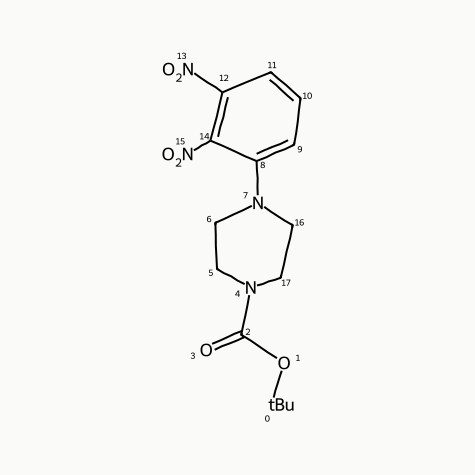 CC(C)(C)OC(=O)N1CCN(c2cccc([N+](=O)[O-])c2[N+](=O)[O-])CC1